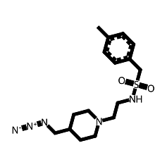 Cc1ccc(CS(=O)(=O)NCCN2CCC(CN=[N+]=[N-])CC2)cc1